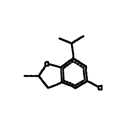 CC1Cc2cc(Cl)cc(C(C)C)c2O1